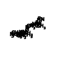 Cc1ncsc1-c1ccc([C@H](C)NC(=O)[C@@H]2CCCN2C(=O)C(NC(=O)COc2ccc(OC3CCN(c4ccc(N5C(=S)N(c6ccc(C#N)c(C(F)(F)F)c6)C(=O)C5(C)C)cn4)CC3)nc2)C(C)(C)C)cc1